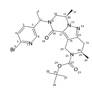 CC(c1ccc(Br)nc1)N1C[C@@H](C)n2nc3c(c2C1=O)CN(C(=O)OC(C)(C)C)[C@H](C)C3